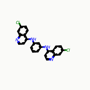 Clc1ccc2c(Nc3cccc(Nc4ccnc5cc(Cl)ccc45)c3)ccnc2c1